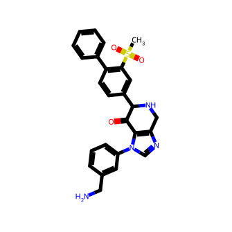 CS(=O)(=O)c1cc(C2NCc3ncn(-c4cccc(CN)c4)c3C2=O)ccc1-c1ccccc1